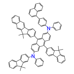 CC1(C)c2ccccc2-c2ccc(-c3c4ccc(N(c5ccccc5)c5ccc(-c6cccc7ccccc67)cc5)cc4c(-c4ccc5c(c4)C(C)(C)c4cc6ccccc6cc4-5)c4ccc(N(c5ccccc5)c5ccc6c(c5)C(C)(C)c5ccccc5-6)cc34)cc21